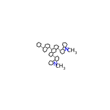 Cn1c2ccccc2c2c(-c3cccc4c(-c5cccc6c(-c7ccccc7)cccc56)c5cccc(-c6cccc7c6c6ccccc6n7C)c5cc34)cccc21